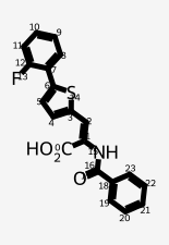 O=C(O)/C(=C\c1ccc(-c2ccccc2F)s1)NC(=O)c1ccccc1